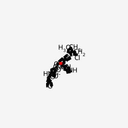 C=C(CCCl)C1=C(CN2CCN(c3ccc(C(=O)NS(=O)(=O)c4ccc(NCCN5CC6(CCOCC6)C5)c([N+](=O)[O-])c4)c(Oc4cnc5[nH]ccc5c4)c3)CC2)CCC(C)(C)C1